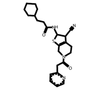 N#CC1C2=C(CN(C(=O)Cc3ccccn3)CC2)SC1NC(=O)CCC1CCCCC1